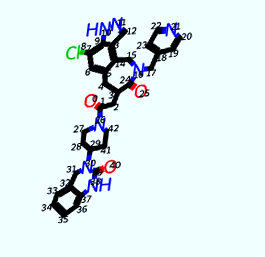 O=C(CC1Cc2cc(Cl)c3[nH]ncc3c2CN(Cc2ccncc2)C1=O)N1CCC(N2Cc3ccccc3NC2=O)CC1